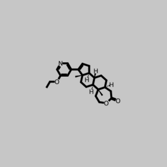 CCOc1cncc(C2=CC[C@H]3[C@@H]4CC[C@H]5CC(=O)OCC[C@]5(C)[C@H]4CC[C@]23C)c1